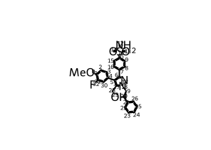 COc1ccc(-c2c(-c3ccc(S(N)(=O)=O)cc3)nn(CCc3ccccc3)c2CO)cc1F